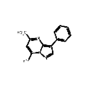 CCCc1cc(C(=O)O)nc2c(-c3ccccc3)cnn12